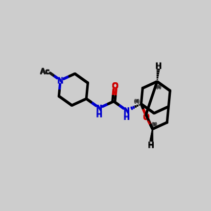 CC(=O)N1CCC(NC(=O)N[C@]23CC4C[C@@H](C[C@H](C4)O2)C3)CC1